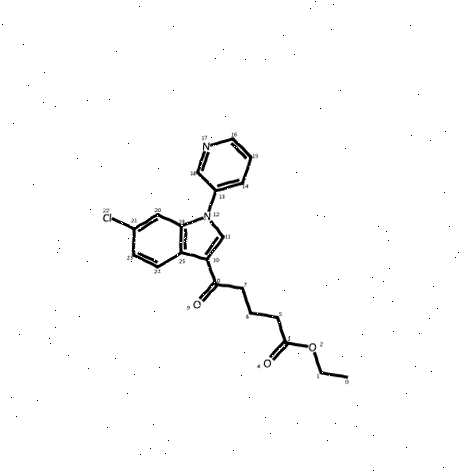 CCOC(=O)CCCC(=O)c1cn(-c2cccnc2)c2cc(Cl)ccc12